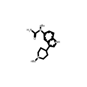 CCCCN1CCC(c2c[nH]c3ccc(N(CCCC)C(N)=O)cc23)CC1